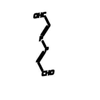 O=CC=PP=CC=O